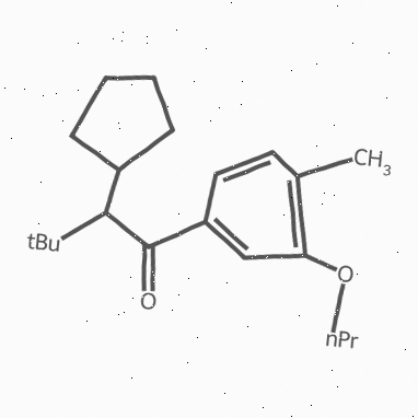 CCCOc1cc(C(=O)C(C2CCCC2)C(C)(C)C)ccc1C